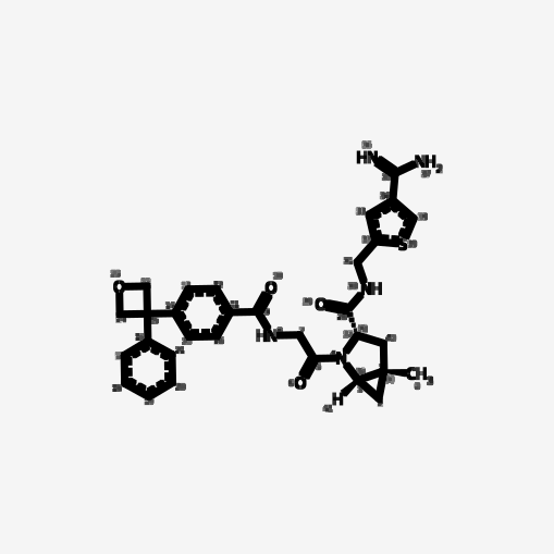 C[C@@]12C[C@@H]1N(C(=O)CNC(=O)c1ccc(C3(c4ccccc4)COC3)cc1)[C@H](C(=O)NCc1cc(C(=N)N)cs1)C2